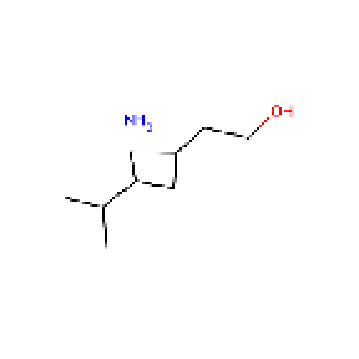 CC(C)C1CC(CCO)C1.N